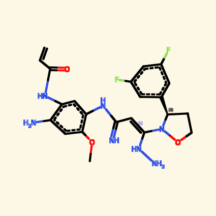 C=CC(=O)Nc1cc(NC(=N)/C=C(\NN)N2OCC[C@@H]2c2cc(F)cc(F)c2)c(OC)cc1N